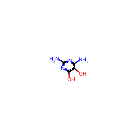 Nc1nc(N)c(O)c(O)n1